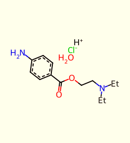 CCN(CC)CCOC(=O)c1ccc(N)cc1.O.[Cl-].[H+]